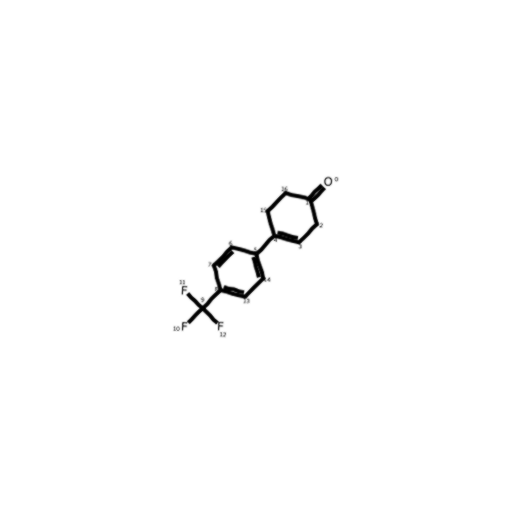 O=C1CC=C(c2ccc(C(F)(F)F)cc2)CC1